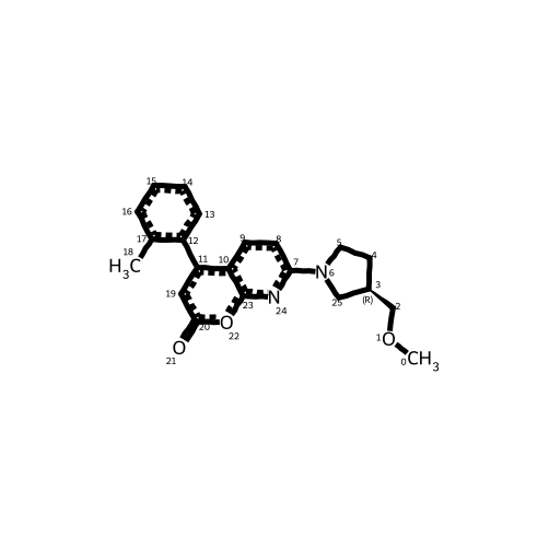 COC[C@@H]1CCN(c2ccc3c(-c4ccccc4C)cc(=O)oc3n2)C1